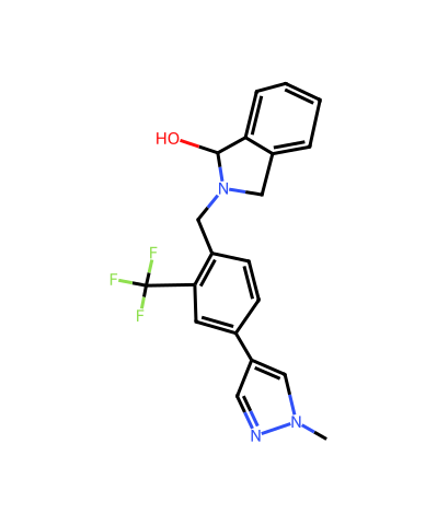 Cn1cc(-c2ccc(CN3Cc4ccccc4C3O)c(C(F)(F)F)c2)cn1